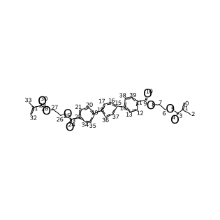 C=C(C)C(=O)OCCOC(=O)c1ccc(-c2ccc(-c3ccc(C(=O)OCCOC(=O)C(=C)C)cc3)cc2)cc1